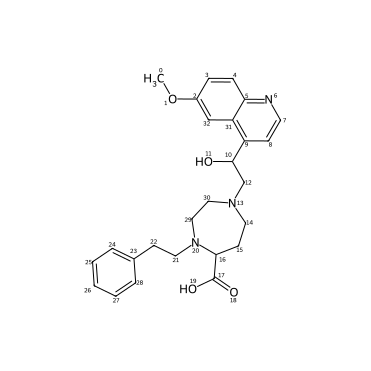 COc1ccc2nccc(C(O)CN3CCC(C(=O)O)N(CCc4ccccc4)CC3)c2c1